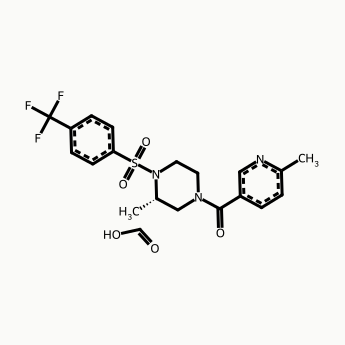 Cc1ccc(C(=O)N2CCN(S(=O)(=O)c3ccc(C(F)(F)F)cc3)[C@@H](C)C2)cn1.O=CO